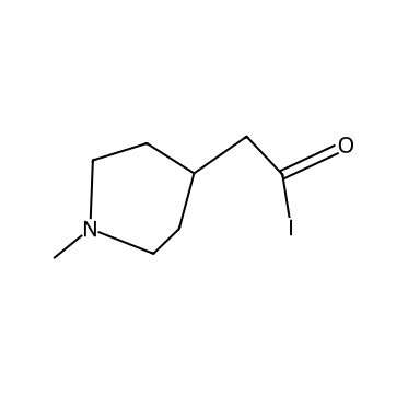 CN1CCC(CC(=O)I)CC1